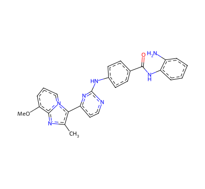 COc1cccn2c(-c3ccnc(Nc4ccc(C(=O)Nc5ccccc5N)cc4)n3)c(C)nc12